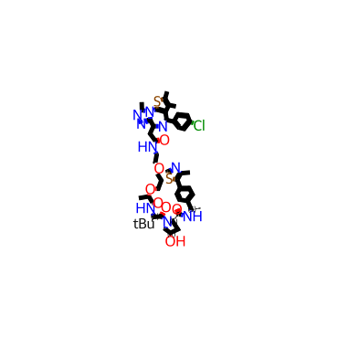 Cc1ncsc1-c1ccc([C@H](C)NC(=O)[C@@H]2C[C@@H](O)CN2C(=O)[C@@H](NC(=O)C(C)OCCCOCCNC(=O)CC2N=C(c3ccc(Cl)cc3)c3c(sc(C)c3C)-n3c(C)nnc32)C(C)(C)C)cc1